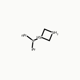 CCCN(C(C)C)[SiH]1C[SiH2]C1